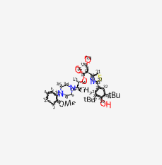 COc1ccccc1N1CCN(C(C)COC(=O)C(=C=O)c2csc(-c3cc(C(C)(C)C)c(O)c(C(C)(C)C)c3)n2)CC1